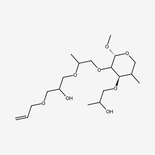 C=CCOCC(O)COC(C)COC1[C@H](OC)OCC(C)[C@H]1OCC(C)O